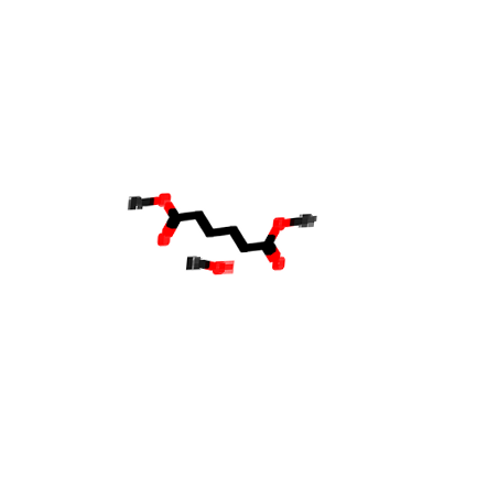 CC(C)OC(=O)CCCCC(=O)OC(C)C.CCO